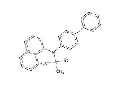 CCC(C)(C)N(c1ccc(-c2ccccc2)cc1)c1cccc2ccccc12